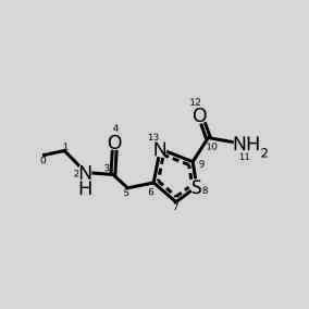 CCNC(=O)Cc1csc(C(N)=O)n1